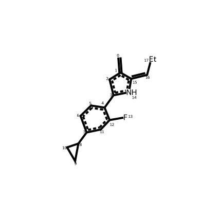 C=c1cc(-c2ccc(C3CC3)cc2F)[nH]/c1=C/CC